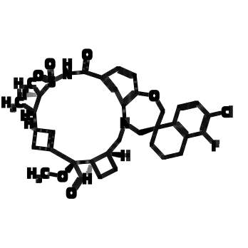 CO[C@@]1(C=O)C2=C[C@@H](C2)[C@H](C)[C@@H](C)S(=O)(=O)NC(=O)c2ccc3c(c2)N(C[C@@H]2CC[C@H]21)C[C@@]1(CCCc2c1ccc(Cl)c2F)CO3